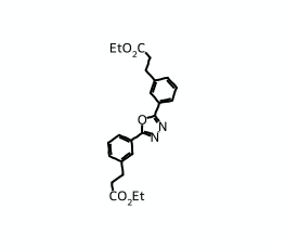 CCOC(=O)CCc1cccc(-c2nnc(-c3cccc(CCC(=O)OCC)c3)o2)c1